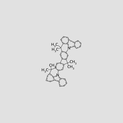 CC1(C)c2cc3c(cc2-c2cc4c(cc21)-n1c2ccccc2c2cccc(c21)C4(C)C)C(C)(C)c1cccc2c4ccccc4n-3c12